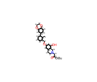 Cc1c(COc2cc(O)c3c(c2)CCN(CC(=O)OCC(C)C)C3)cccc1-c1ccc2c(c1)OCCO2